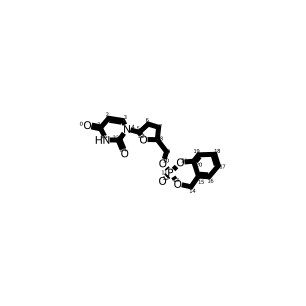 O=c1ccn(C2CCC(COP3(=O)OCc4ccccc4O3)O2)c(=O)[nH]1